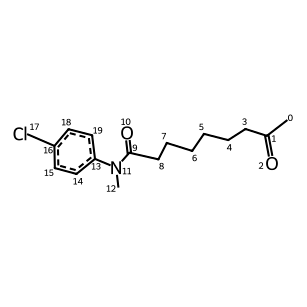 CC(=O)CCCCCCC(=O)N(C)c1ccc(Cl)cc1